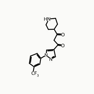 O=C(CC(=O)C1CCNCC1)c1cnn(-c2cccc(C(F)(F)F)c2)c1